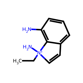 CC[N+]1(N)C=Cc2cccc(N)c21